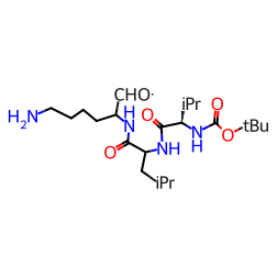 CC(C)CC(NC(=O)[C@H](NC(=O)OC(C)(C)C)C(C)C)C(=O)NC([C]=O)CCCCN